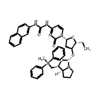 CC[C@H]1O[C@@H](n2ccc(NC(=O)Nc3ccc4ccccc4c3)nc2=O)CC1O[P@@]1O[C@H](C[Si](C)(c2ccccc2)c2ccccc2)[C@@H]2CCCN21